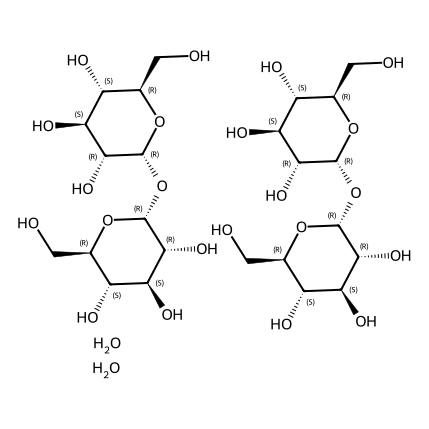 O.O.OC[C@H]1O[C@H](O[C@H]2O[C@H](CO)[C@@H](O)[C@H](O)[C@H]2O)[C@H](O)[C@@H](O)[C@@H]1O.OC[C@H]1O[C@H](O[C@H]2O[C@H](CO)[C@@H](O)[C@H](O)[C@H]2O)[C@H](O)[C@@H](O)[C@@H]1O